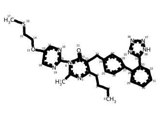 CCCCc1nc(C)n(-c2ncc(OCCSC)cn2)c(=O)c1Cc1ccc(-c2ccccc2-c2nnn[nH]2)cc1